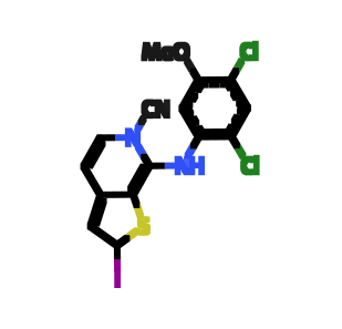 COc1cc(NC2=C3SC(I)C=C3C=CN2C#N)c(Cl)cc1Cl